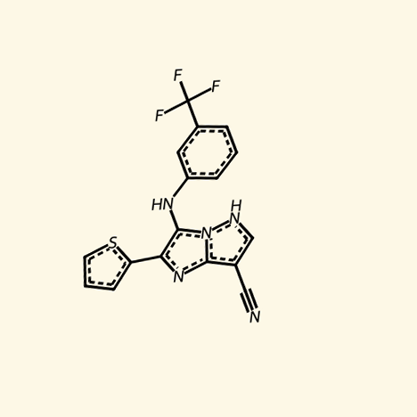 N#Cc1c[nH]n2c(Nc3cccc(C(F)(F)F)c3)c(-c3cccs3)nc12